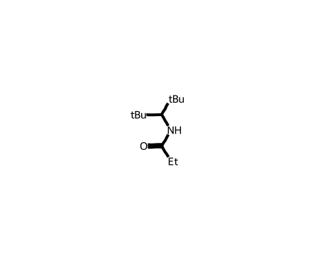 CCC(=O)NC(C(C)(C)C)C(C)(C)C